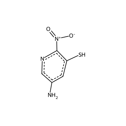 Nc1cnc([N+](=O)[O-])c(S)c1